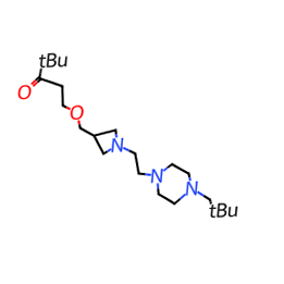 CC(C)(C)CN1CCN(CCN2CC(COCCC(=O)C(C)(C)C)C2)CC1